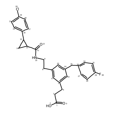 O=C(O)CCc1cc(CCNC(=O)C2CC2c2ccc(Cl)cc2)cc(Cc2ccc(F)cc2)c1